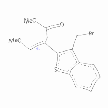 CO/C=C(\C(=O)OC)c1sc2ccccc2c1CBr